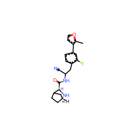 Cc1occc1-c1ccc(CC(C#N)NC(=O)[C@H]2N[C@@H]3CCC2C3)c(F)c1